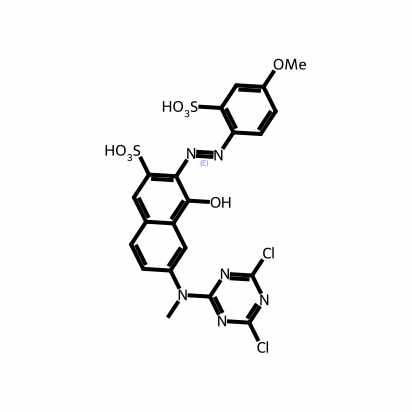 COc1ccc(/N=N/c2c(S(=O)(=O)O)cc3ccc(N(C)c4nc(Cl)nc(Cl)n4)cc3c2O)c(S(=O)(=O)O)c1